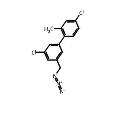 Cc1cc(Cl)ccc1-c1cc(Cl)cc(CN=[N+]=[N-])c1